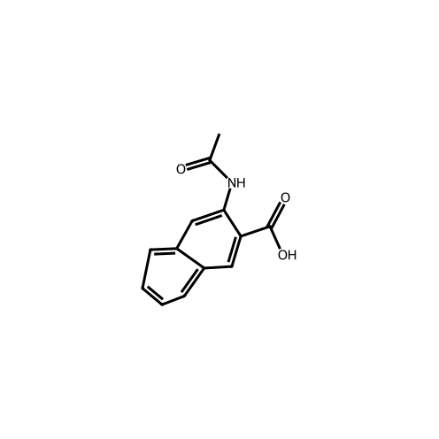 CC(=O)Nc1cc2ccccc2cc1C(=O)O